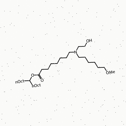 CCCCCCCCC(CCCCCCCC)OC(=O)CCCCCCCN(CCO)CCCCCCOC